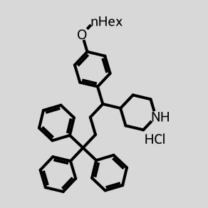 CCCCCCOc1ccc(C(CCC(c2ccccc2)(c2ccccc2)c2ccccc2)C2CCNCC2)cc1.Cl